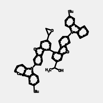 CC(O)c1cc(-c2cc(C3CO3)cc3oc4cc(-n5c6ccccc6c6cc(C(C)(C)C)ccc65)ccc4c23)c2c(c1)oc1cc(-n3c4ccccc4c4cc(C(C)(C)C)ccc43)ccc12